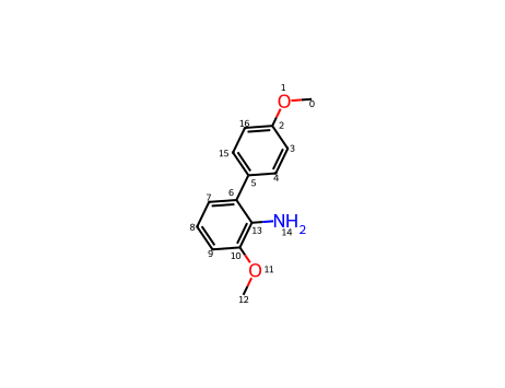 COc1ccc(-c2cccc(OC)c2N)cc1